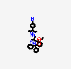 CCOC(=O)c1c(Cn2nc(C)c(-c3ccc(C#N)cc3)c2C)cnn1C(c1ccccc1)(c1ccccc1)c1ccccc1